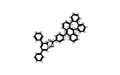 c1ccc(-c2cc(-c3ccccc3)c3nc(-c4ccc(-c5c6ccccc6c6c7c(cccc57)-c5ccccc5-c5ccccc5-6)cc4)nn3c2)cc1